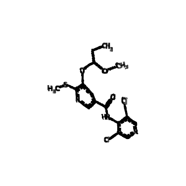 CCC(OC)Oc1cc(C(=O)Nc2c(Cl)cncc2Cl)cnc1SC